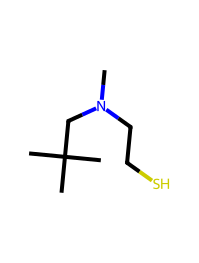 CN(CCS)CC(C)(C)C